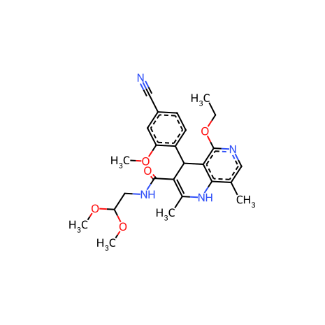 CCOc1ncc(C)c2c1C(c1ccc(C#N)cc1OC)C(C(=O)NCC(OC)OC)=C(C)N2